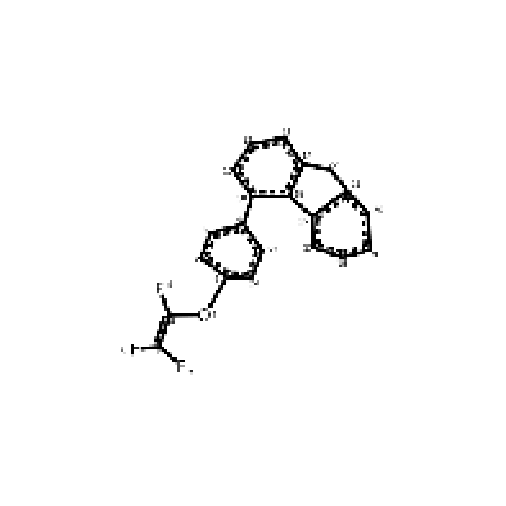 FC(F)=C(F)Oc1ccc(-c2cccc3c2-c2ccccc2C3)cc1